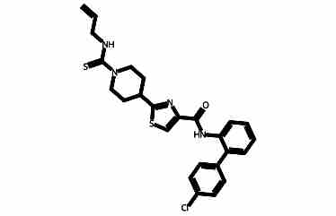 C=CCNC(=S)N1CCC(c2nc(C(=O)Nc3ccccc3-c3ccc(Cl)cc3)cs2)CC1